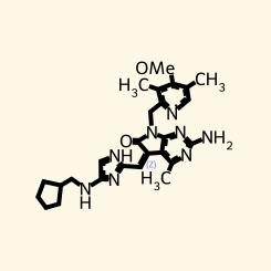 COc1c(C)cnc(CN2C(=O)/C(=C\c3nc(NCC4CCCC4)c[nH]3)c3c(C)nc(N)nc32)c1C